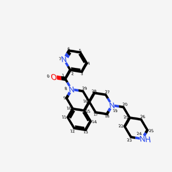 O=C(c1ccccn1)N1Cc2ccccc2C2(CCN(CC3CCNCC3)CC2)C1